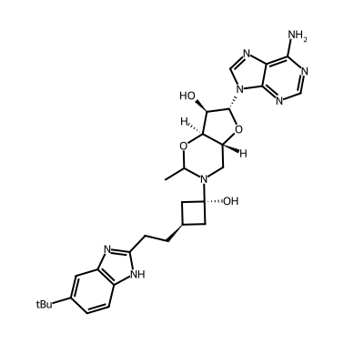 CC1O[C@H]2[C@@H](O)[C@H](n3cnc4c(N)ncnc43)O[C@@H]2CN1[C@]1(O)C[C@H](CCc2nc3cc(C(C)(C)C)ccc3[nH]2)C1